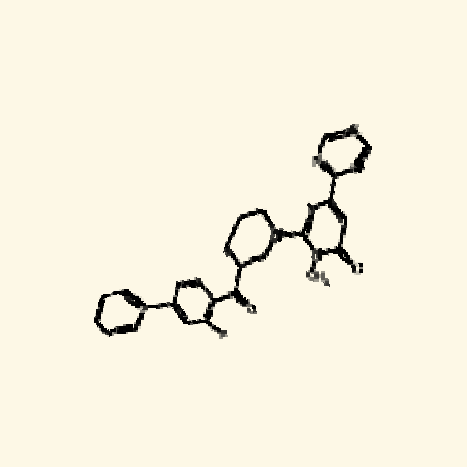 Cn1c(N2CCCC(C(=O)c3ccc(-c4ccccc4)cc3F)C2)nc(-c2ccncn2)cc1=O